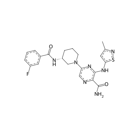 Cc1cc(Nc2nc(N3CCC[C@@H](NC(=O)c4cccc(F)c4)C3)cnc2C(N)=O)sn1